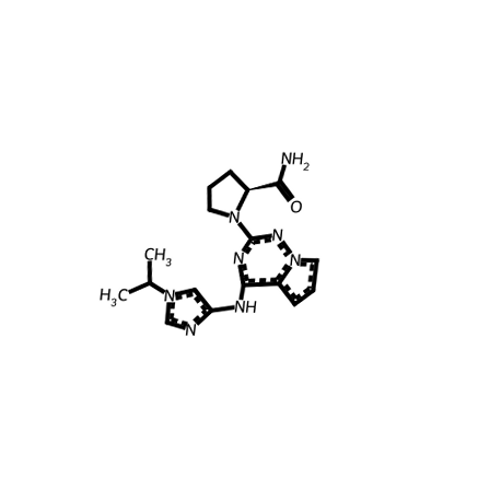 CC(C)n1cnc(Nc2nc(N3CCC[C@H]3C(N)=O)nn3cccc23)c1